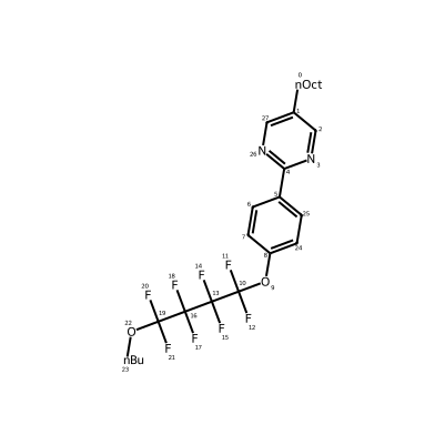 CCCCCCCCc1cnc(-c2ccc(OC(F)(F)C(F)(F)C(F)(F)C(F)(F)OCCCC)cc2)nc1